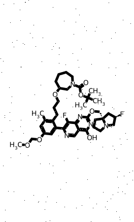 COCOc1cc(C)c(CCCOC2CCCCN(C(=O)OC(C)(C)C)C2)c(-c2ncc3c(O)nc(OC[C@@]45CCCN4C[C@H](F)C5)nc3c2F)c1